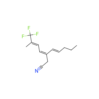 CCC/C=C/C(=C\C=C(/C)C(F)(F)F)CC#N